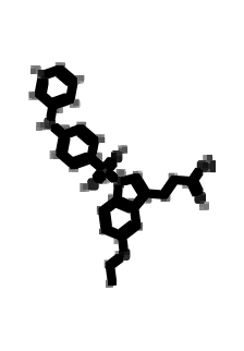 CCOc1ccc2c(c1)c(CCC(=O)O)cn2S(=O)(=O)c1ccc(Oc2cccnc2)cc1